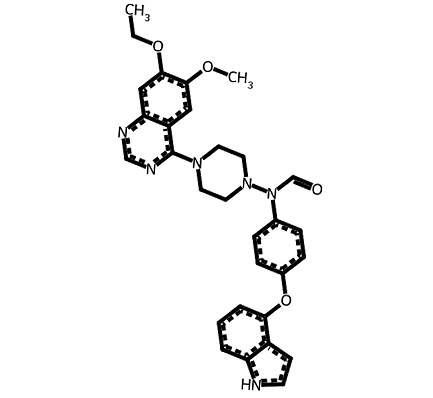 CCOc1cc2ncnc(N3CCN(N(C=O)c4ccc(Oc5cccc6[nH]ccc56)cc4)CC3)c2cc1OC